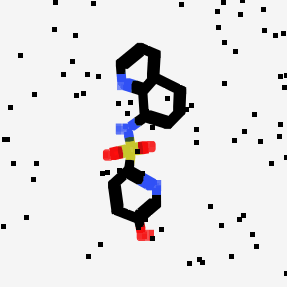 O=S(=O)(Nc1cccc2cccnc12)c1ccc(O)cn1